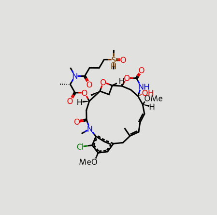 COc1cc2cc(c1Cl)N(C)C(=O)C[C@H](OC(=O)[C@H](C)N(C)C(=O)CCC[SH](C)(C)=O)[C@@]1(C)CC(C)(O1)[C@@H]1C[C@@](O)(NC(=O)O1)[C@H](OC)/C=C/C=C(\C)C2